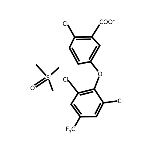 C[S+](C)(C)=O.O=C([O-])c1cc(Oc2c(Cl)cc(C(F)(F)F)cc2Cl)ccc1Cl